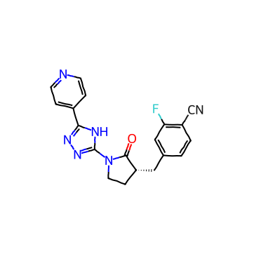 N#Cc1ccc(C[C@@H]2CCN(c3nnc(-c4ccncc4)[nH]3)C2=O)cc1F